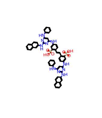 O=S(=O)(O)c1cc(Nc2cc(Nc3ccccc3)nc(Nc3ccc4ccccc4c3)n2)ccc1/C=C/c1ccc(Nc2cc(Nc3ccccc3)nc(Nc3ccc4ccccc4c3)n2)cc1S(=O)(=O)O